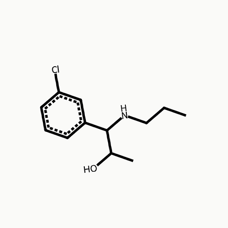 CCCNC(c1cccc(Cl)c1)C(C)O